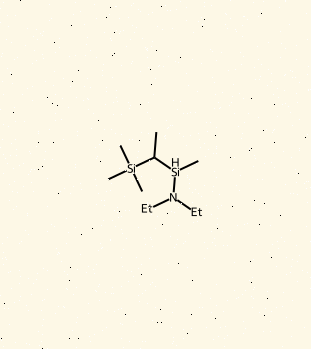 CCN(CC)[SiH](C)C(C)[Si](C)(C)C